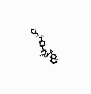 C=Nc1ncc(C2(c3ccc4ncccc4c3)CC2)n1/C=C(\C)c1ccc(C(=O)NCC2CCCO2)cc1